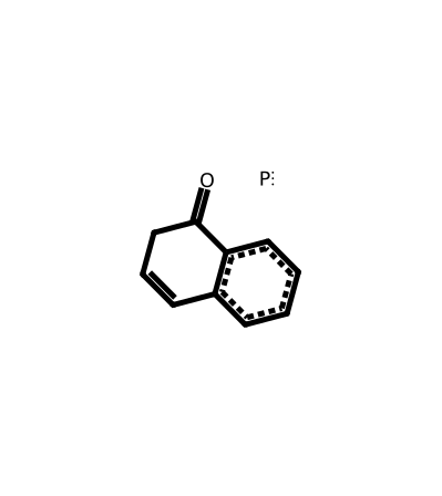 O=C1CC=Cc2ccccc21.[P]